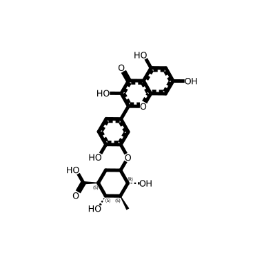 C[C@H]1[C@H](O)[C@@H](C(=O)O)CC(Oc2cc(-c3oc4cc(O)cc(O)c4c(=O)c3O)ccc2O)[C@@H]1O